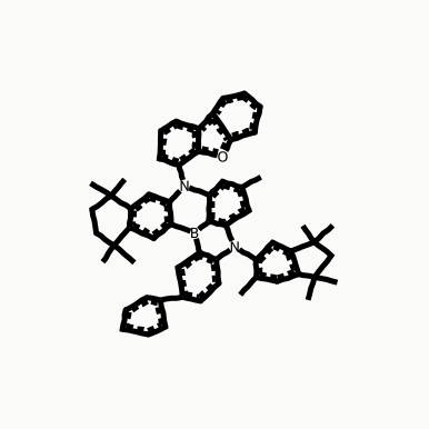 Cc1cc2c3c(c1)N(c1cccc4c1oc1ccccc14)c1cc4c(cc1B3c1cc(-c3ccccc3)ccc1N2c1cc2c(cc1C)C(C)(C)CC2(C)C)C(C)(C)CCC4(C)C